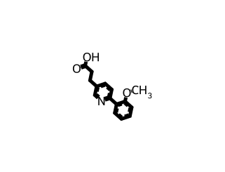 COc1ccccc1-c1ccc(CCC(=O)O)cn1